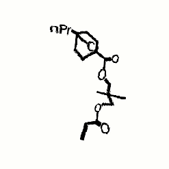 C=CC(=O)OCC(C)(C)COC(=O)C12CCC(CCC)(CC1)CC2